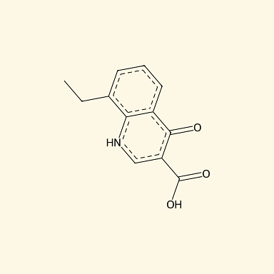 CCc1cccc2c(=O)c(C(=O)O)c[nH]c12